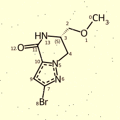 COC[C@@H]1Cn2nc(Br)cc2C(=O)N1